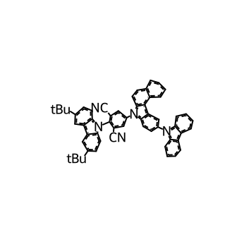 CC(C)(C)c1ccc2c(c1)c1cc(C(C)(C)C)ccc1n2-c1c(C#N)cc(-n2c3ccc(-n4c5ccccc5c5ccccc54)cc3c3c4ccccc4ccc32)cc1C#N